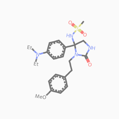 CCN(CC)c1ccc(C2(NS(C)(=O)=O)CNC(=O)N2CCc2ccc(OC)cc2)cc1